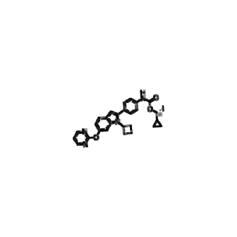 O=C(Nc1ccc(-c2cc3ccc(Oc4ncccn4)cc3n2C2CCC2)cc1)O[C@H](I)C1CC1